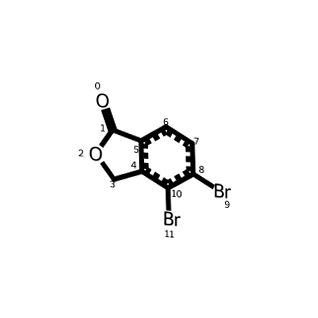 O=C1OCc2c1ccc(Br)c2Br